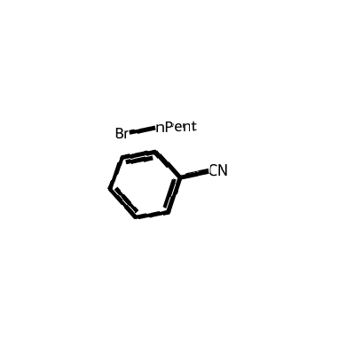 CCCCCBr.N#Cc1ccccc1